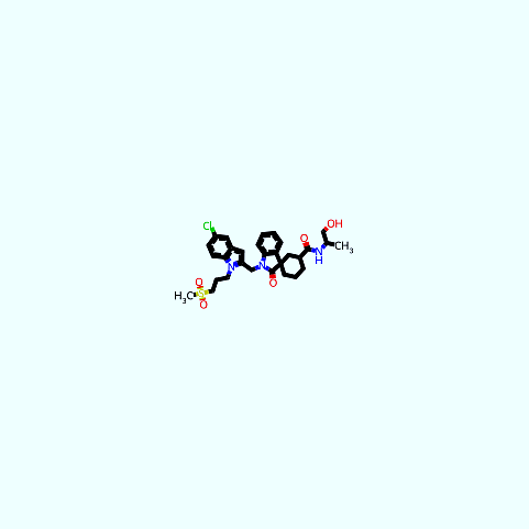 CC(CO)NC(=O)C1CCCC2(C1)C(=O)N(Cc1cc3cc(Cl)ccc3n1CCCS(C)(=O)=O)c1ccccc12